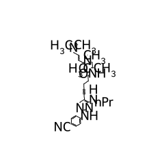 CCCNc1nc(Nc2ccc(C#N)cc2)ncc1C#CCCC(=O)NC(C)(C)CN(C)C(=O)/C=C/CN(C)C